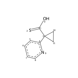 OC(=S)C1(c2ccccn2)CC1